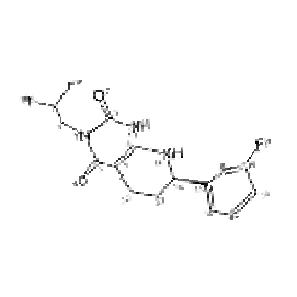 O=c1[nH]c2c(c(=O)n1CC(F)F)CC[C@H](c1cccc(F)c1)N2